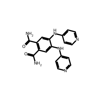 NC(=O)c1cc(Nc2ccncc2)c(Nc2ccncc2)cc1C(N)=O